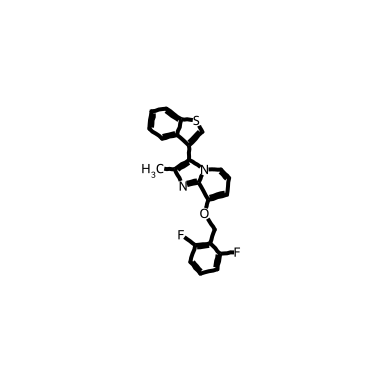 Cc1nc2c(OCc3c(F)cccc3F)cccn2c1-c1csc2ccccc12